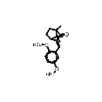 CCCCOc1ccc(OCCCC)c(C=C2C(=O)C3(C)CCC2C3(C)C)c1